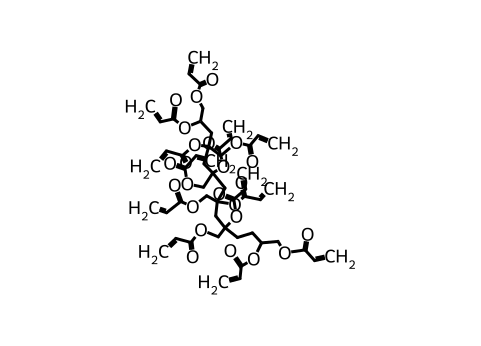 C=CC(=O)OCC(CCC(COC(=O)C=C)(CC(COC(=O)C=C)(CC(COC(=O)C=C)(CC(COC(=O)C=C)(CC(COC(=O)C=C)OC(=O)C=C)OC(=O)C=C)OC(=O)C=C)OC(=O)C=C)OC(=O)C=C)OC(=O)C=C